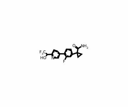 NC(=O)C1(c2ccc(-c3ccc(C(O)C(F)(F)F)nc3)c(F)c2)CC1